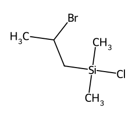 CC(Br)C[Si](C)(C)Cl